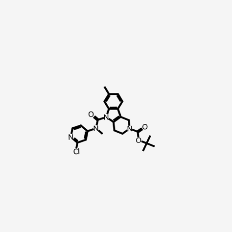 Cc1ccc2c3c(n(C(=O)N(C)c4ccnc(Cl)c4)c2c1)CCN(C(=O)OC(C)(C)C)C3